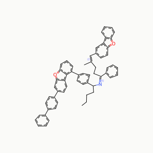 CCCCC(/N=C(\CC/C(C)=C\c1ccc2oc3ccccc3c2c1)c1ccccc1)c1ccc(-c2cccc3oc4cc(-c5ccc(-c6ccccc6)cc5)ccc4c23)cc1